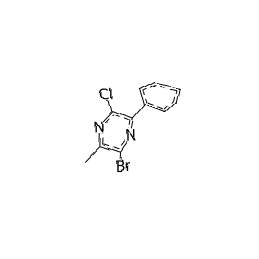 Cc1nc(Cl)c(-c2ccccc2)nc1Br